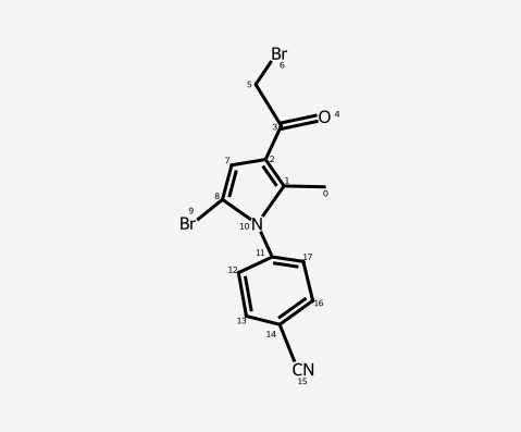 Cc1c(C(=O)CBr)cc(Br)n1-c1ccc(C#N)cc1